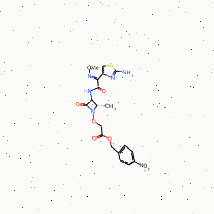 CON=C(C(=O)N[C@@H]1C(=O)N(OCC(=O)OCc2ccc([N+](=O)[O-])cc2)[C@H]1C)c1csc(N)n1